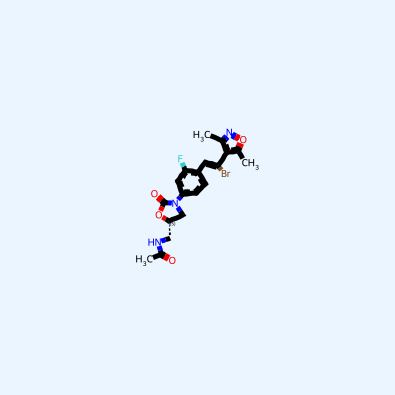 CC(=O)NC[C@H]1CN(c2ccc(C=C(Br)c3c(C)noc3C)c(F)c2)C(=O)O1